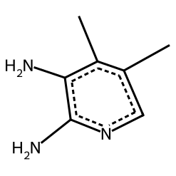 Cc1cnc(N)c(N)c1C